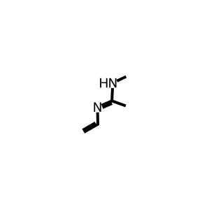 C=C/N=C(\C)NC